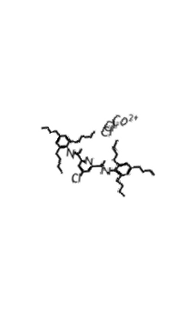 CCCCc1cc(CCCC)c(N=C(C)c2cc(Cl)cc(C(C)=Nc3c(CCCC)cc(CCCC)cc3CCCC)n2)c(CCCC)c1.[Cl-].[Cl-].[Co+2]